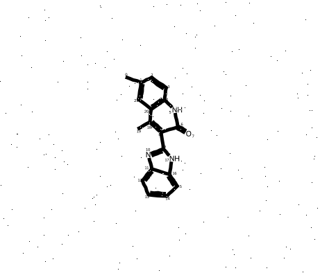 Cc1ccc2[nH]c(=O)c(-c3nc4ccccc4[nH]3)c(C)c2c1